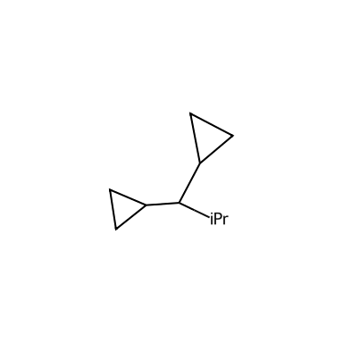 [CH2]C(C)C(C1CC1)C1CC1